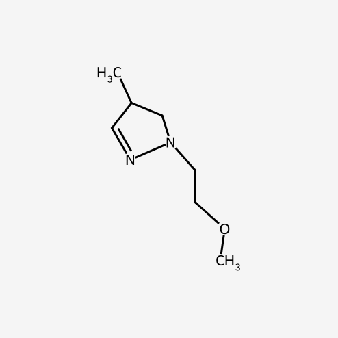 COCCN1CC(C)C=N1